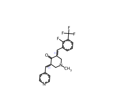 CN1C/C(=C\c2ccncc2)C(=O)/C(=C/c2cccc(C(F)(F)F)c2F)C1